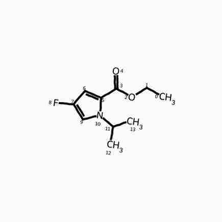 CCOC(=O)c1cc(F)cn1C(C)C